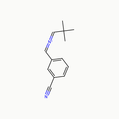 CC(C)(C)C=[N+]=Cc1cccc(C#N)c1